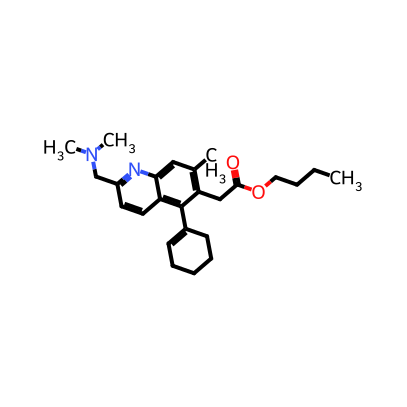 CCCCOC(=O)Cc1c(C)cc2nc(CN(C)C)ccc2c1C1=CCCCC1